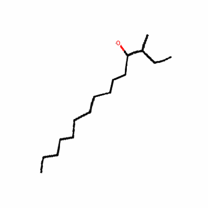 CCCCCCCCCCCC([O])C(C)CC